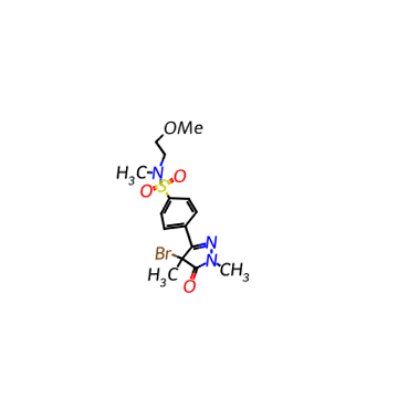 COCCN(C)S(=O)(=O)c1ccc(C2=NN(C)C(=O)C2(C)Br)cc1